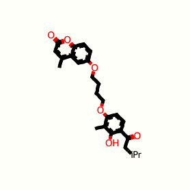 Cc1c(OCCCCOc2ccc3oc(=O)cc(C)c3c2)ccc(C(=O)CC(C)C)c1O